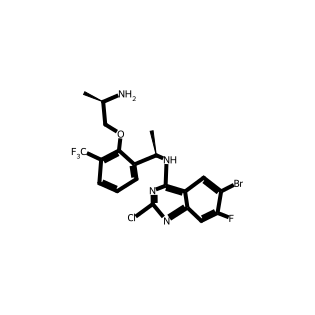 C[C@@H](N)COc1c([C@@H](C)Nc2nc(Cl)nc3cc(F)c(Br)cc23)cccc1C(F)(F)F